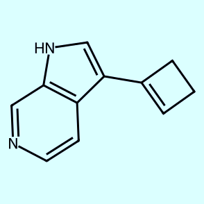 C1=C(c2c[nH]c3cnccc23)CC1